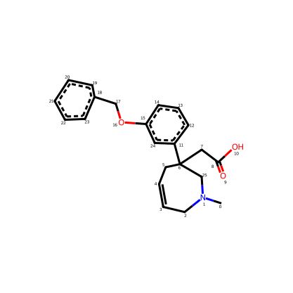 CN1CC=CCC(CC(=O)O)(c2cccc(OCc3ccccc3)c2)C1